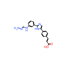 NN=CNc1cccc(-c2ncc(-c3ccc(C=CC(=O)O)cc3)[nH]2)c1